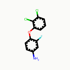 Nc1ccc(Oc2cccc(Cl)c2Cl)c(F)c1